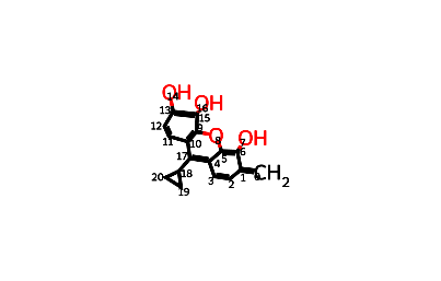 C=c1ccc2c(c1O)Oc1c(ccc(O)c1O)C=2C1CC1